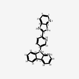 c1cnc2sc(-c3ccc(-n4c5ccccc5c5cccnc54)cn3)nc2c1